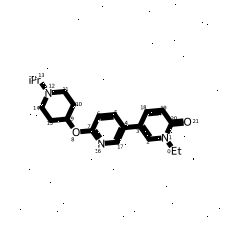 CCn1cc(-c2ccc(OC3CCN(C(C)C)CC3)nc2)ccc1=O